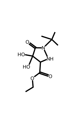 CCOC(=O)C1NN(C(C)(C)C)C(=O)C1(O)O